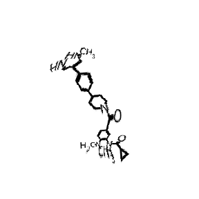 CN/C=C(\C=N)c1ccc(C2CCN(C(=O)c3ccc(N(C)C)c(NC(=O)C4CC4)c3)CC2)cc1